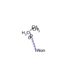 CCCCCCCCC/C=C/C=C/C=C/C=C/C=C/C(=O)OC/C=C(\C)CCC=C(C)C